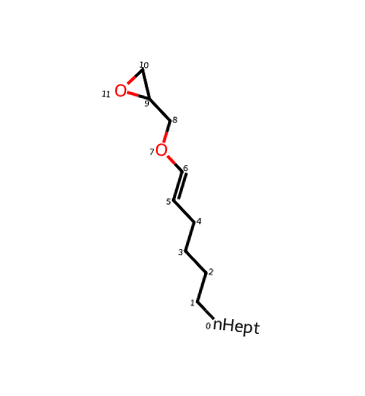 CCCCCCCCCCCC=COCC1CO1